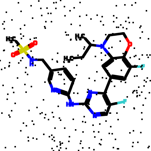 CCC(C)N1CCOc2c(F)cc(-c3nc(Nc4ccc(CNS(C)(=O)=O)cn4)ncc3F)cc21